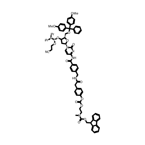 COc1ccc(C(OC[C@H]2O[C@@H](n3ccc(NC(=O)c4ccc(CNC(=O)Cc5ccc(OC(=O)OCCN(C)C(=O)OCC6c7ccccc7-c7ccccc76)cc5)cc4)nc3=O)CC2OP(OCCC#N)N(C(C)C)C(C)C)(c2ccccc2)c2ccc(OC)cc2)cc1